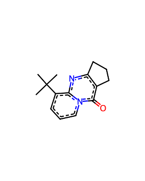 CC(C)(C)c1cccn2c(=O)c3c(nc12)CCC3